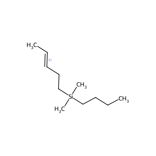 C/C=C/CC[Si](C)(C)CCCC